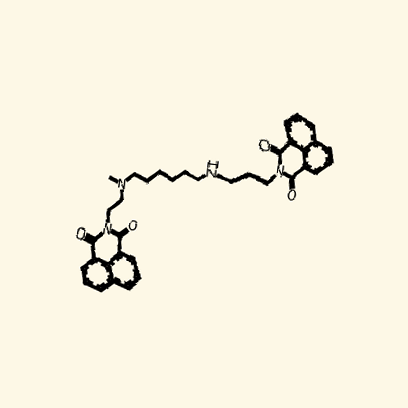 CN(CCCCCCNCCCN1C(=O)c2cccc3cccc(c23)C1=O)CCN1C(=O)c2cccc3cccc(c23)C1=O